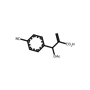 C=C(C(=O)O)C(OC(C)=O)c1ccc(C#N)cc1